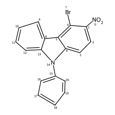 O=[N+]([O-])c1ccc2c(c1Br)c1ccccc1n2-c1ccccc1